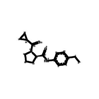 [CH2]Cc1ccc(NC(=O)[C@H]2CCCN2C(=O)C2CC2)cc1